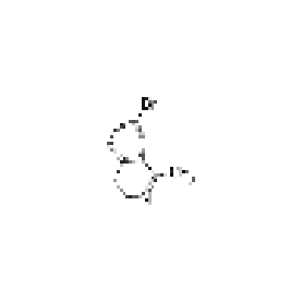 FC(F)(F)C1=NCCc2ccc(Br)cc21